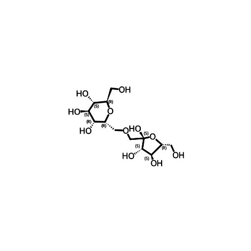 OC[C@H]1O[C@@](O)(COC[C@H]2O[C@H](CO)[C@@H](O)[C@H](O)[C@H]2O)[C@@H](O)[C@@H]1O